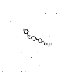 O=C(O)CN1CCC(N2CCC3(CCN(c4ccncc4)C3)CC2)CC1